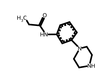 CCC(=O)Nc1cccc(N2CCNCC2)c1